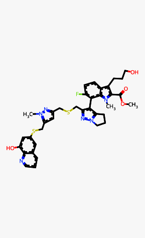 COC(=O)c1c(CCCO)c2ccc(F)c(-c3c(CSCc4cc(CSc5cc(O)c6ncccc6c5)n(C)n4)nn4c3CCC4)c2n1C